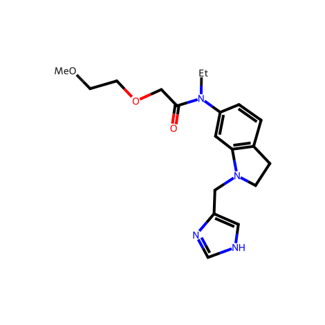 CCN(C(=O)COCCOC)c1ccc2c(c1)N(Cc1c[nH]cn1)CC2